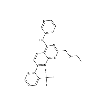 CCOCc1nc(Nc2cccnc2)c2ccc(-c3ncccc3C(F)(F)F)nc2n1